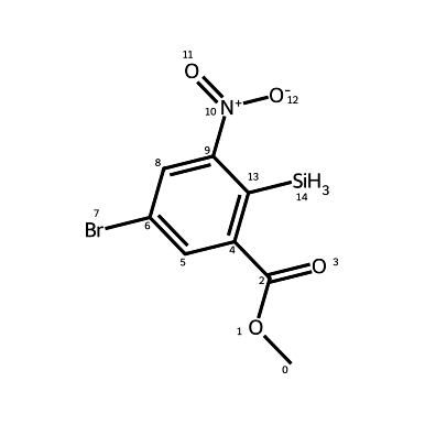 COC(=O)c1cc(Br)cc([N+](=O)[O-])c1[SiH3]